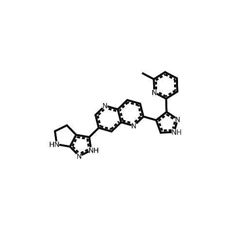 Cc1cccc(-c2n[nH]cc2-c2ccc3ncc(-c4[nH]nc5c4CCN5)cc3n2)n1